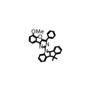 COc1cccc2c1oc1c(-c3ccccc3)nc(N3c4ccccc4C4C3c3ccccc3C4(C)C)nc12